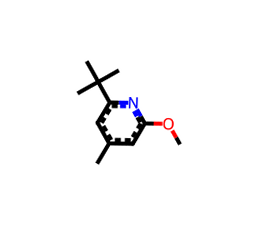 COc1cc(C)cc(C(C)(C)C)n1